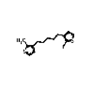 Cc1sccc1CCCCCc1ccsc1I